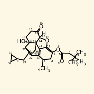 CC1CC(OC(=O)CC(C)(C)C)=C2O[C@H]3C(=O)CC[C@@]4(O)C5CC1=C2[C@@]34CCN5CC1CC1